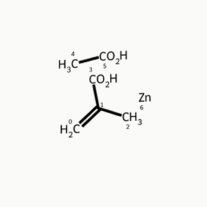 C=C(C)C(=O)O.CC(=O)O.[Zn]